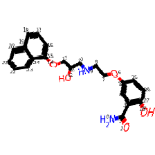 NC(=O)c1cc(OCCNCC(O)COc2cccc3ccccc23)ccc1O